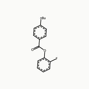 CCCCc1ccc(C(=O)Oc2ccccc2F)cc1